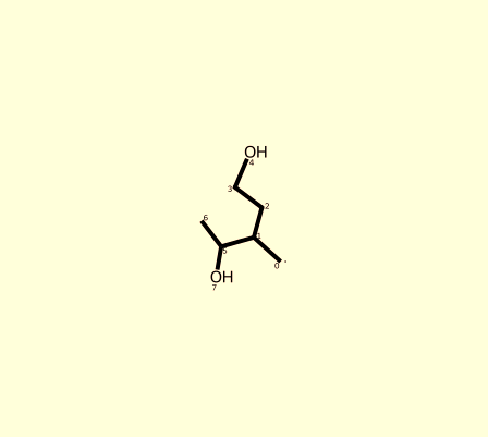 [CH2]C(CCO)C(C)O